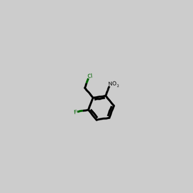 O=[N+]([O-])c1cccc(F)c1CCl